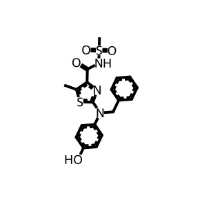 Cc1sc(N(Cc2ccccc2)c2ccc(O)cc2)nc1C(=O)NS(C)(=O)=O